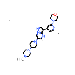 CN1CCN(C2CCN(c3cnc4c(-c5ccnc(N6CCOCC6)c5)cnn4c3)CC2)CC1